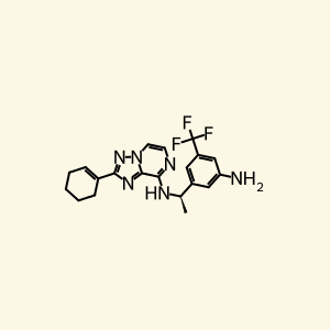 C[C@@H](Nc1nccn2nc(C3=CCCCC3)nc12)c1cc(N)cc(C(F)(F)F)c1